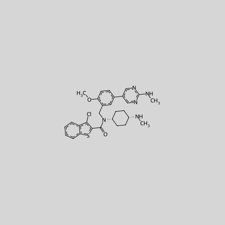 CNc1ncc(-c2ccc(OC)c(CN(C(=O)c3sc4ccccc4c3Cl)[C@H]3CC[C@@H](NC)CC3)c2)cn1